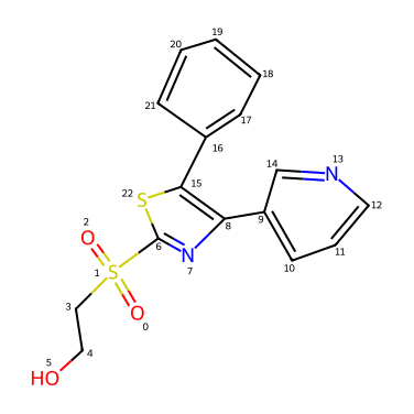 O=S(=O)(CCO)c1nc(-c2cccnc2)c(-c2ccccc2)s1